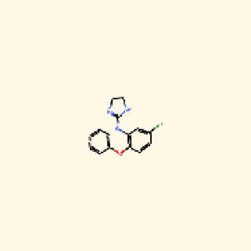 Clc1ccc(Oc2ccccc2)c(NC2=NCCN2)c1